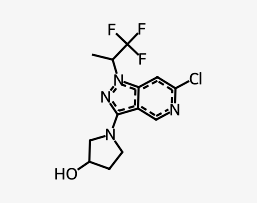 CC(n1nc(N2CCC(O)C2)c2cnc(Cl)cc21)C(F)(F)F